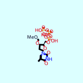 COCO[C@H]1C[C@H](n2cc(C)c(=O)[nH]c2=O)O[C@@H]1COP(=O)(O)OP(=O)(O)OP(=O)(O)O